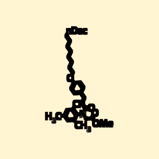 CCCCCCCCCCCCCCCCCCOc1ccc(CCC(=O)N(CC(=O)OC)c2c(C)cc(C)cc2C)cc1